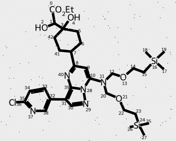 CCOC(=O)C(O)C1(O)CCC(c2cc(N(COCC[Si](C)(C)C)COCC[Si](C)(C)C)n3ncc(-c4ccc(Cl)nc4)c3n2)CC1